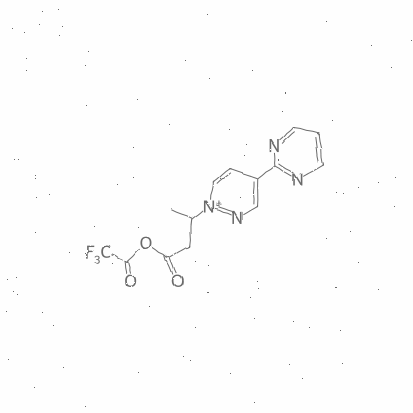 CC(CC(=O)OC(=O)C(F)(F)F)[n+]1ccc(-c2ncccn2)cn1